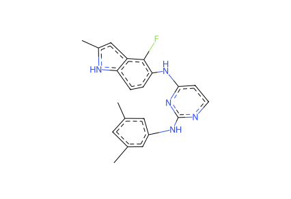 Cc1cc(C)cc(Nc2nccc(Nc3ccc4[nH]c(C)cc4c3F)n2)c1